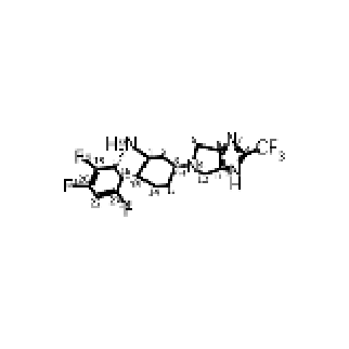 NC1C[C@@H](N2Cc3nc(C(F)(F)F)[nH]c3C2)CC[C@@H]1C1CC(F)=C(F)C=C1F